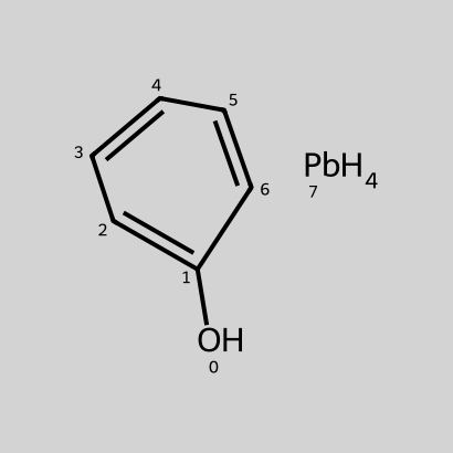 Oc1ccccc1.[PbH4]